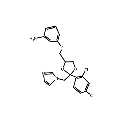 Nc1cccc(SCC2COC(Cn3ccnc3)(c3ccc(Cl)cc3Cl)O2)c1